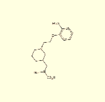 COc1ccccc1OCCN1CCCC(CN(C(=O)O)C(C)(C)C)C1